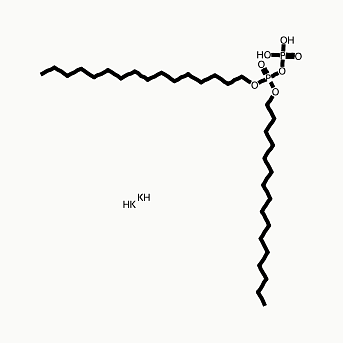 CCCCCCCCCCCCCCCCOP(=O)(OCCCCCCCCCCCCCCCC)OP(=O)(O)O.[KH].[KH]